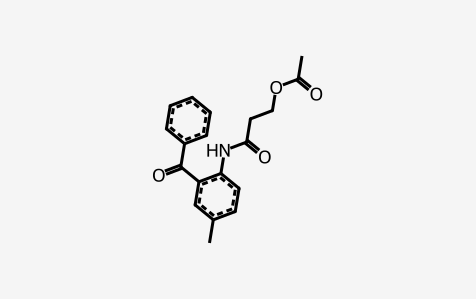 CC(=O)OCCC(=O)Nc1ccc(C)cc1C(=O)c1ccccc1